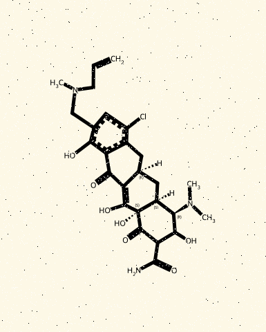 C=CCN(C)Cc1cc(Cl)c2c(c1O)C(=O)C1=C(O)[C@]3(O)C(=O)C(C(N)=O)C(O)[C@H](N(C)C)[C@@H]3C[C@@H]1C2